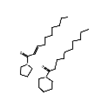 CCCCCCCC=CC(=O)N1CCCC1.CCCCCCCCCC(=O)N1CCCCC1